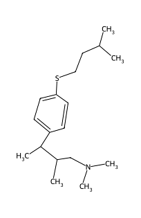 CC(C)CCSc1ccc(C(C)C(C)CN(C)C)cc1